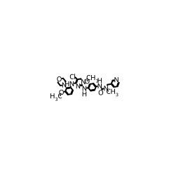 COc1cc(NC(=O)N(C)Cc2cccnc2)ccc1Nc1ncc(Cl)c(Nc2cccc(OC)c2N2CCOCC2)n1